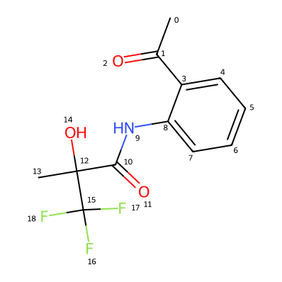 CC(=O)c1ccccc1NC(=O)C(C)(O)C(F)(F)F